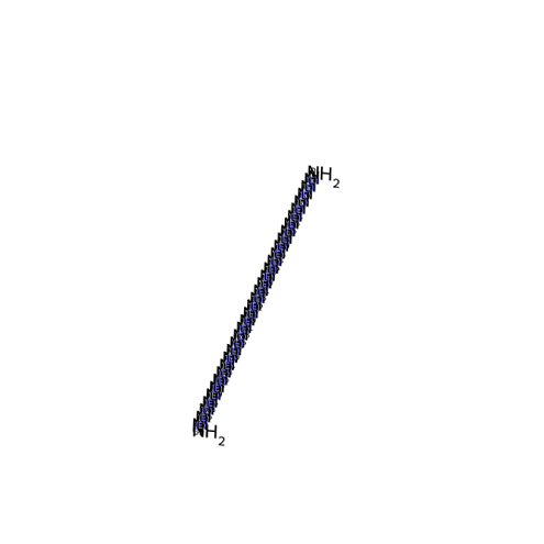 N/N=N/N=N/N=N/N=N/N=N/N=N/N=N/N=N/N=N/N=N/N=N/N=N/N=N/N=N/N=N/N=N/N=N/N=N/N=N/N=N/N=N/N=N/N=N/N=N/N=N/N=N/N=N/N=N/N=N/N=N/N=N/N=N/N=N/N=N/N